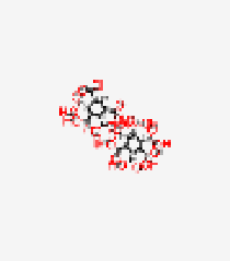 O=C(O)c1c(C(=O)O)c(C(=O)O)c(C(=O)O)c(C(=O)O)c1C(=O)O.O=C(O)c1cc(C(=O)O)c(C(=O)O)c(C(=O)O)c1C(=O)O